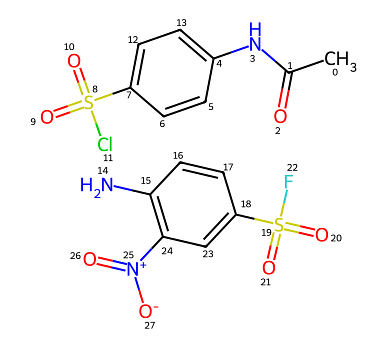 CC(=O)Nc1ccc(S(=O)(=O)Cl)cc1.Nc1ccc(S(=O)(=O)F)cc1[N+](=O)[O-]